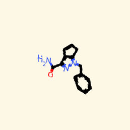 NC(=O)c1nn(Cc2ccccc2)c2c1C=CC2